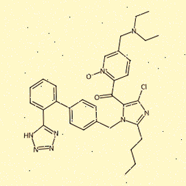 CCCCc1nc(Cl)c(C(=O)c2ccc(CN(CC)CC)c[n+]2[O-])n1Cc1ccc(-c2ccccc2-c2nnn[nH]2)cc1